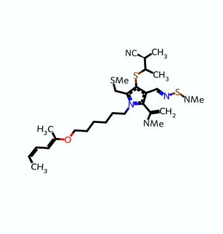 C=C(NC)c1c(/C=N/SNC)c(SC(C)[C@H](C)C#N)c(CSC)n1CCCCCCO/C(C)=C/C=C\C